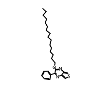 CCCCCCCCCCCCCCCCOc1nc2cscc2nc1-c1ccccc1